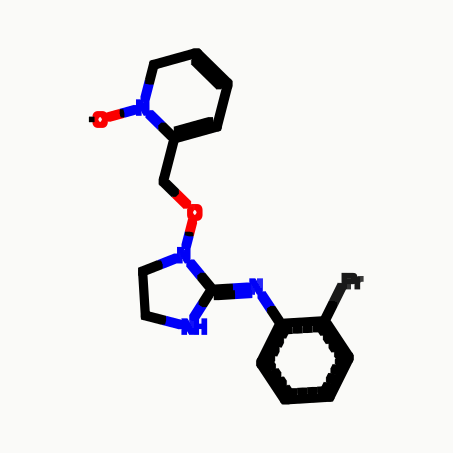 CC(C)c1ccccc1N=C1NCCN1OCC1=CC=CCN1[O]